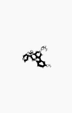 Cc1ccc2c(c1)c1c3n2CC(c2ccncc2)S(=O)(=O)C3CN(C)C1